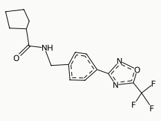 O=C(NCc1ccc(-c2noc(C(F)(F)F)n2)cc1)C1CCCC1